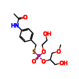 COCC(CO)OP(=O)(OCCO)SCc1ccc(NC(C)=O)cc1